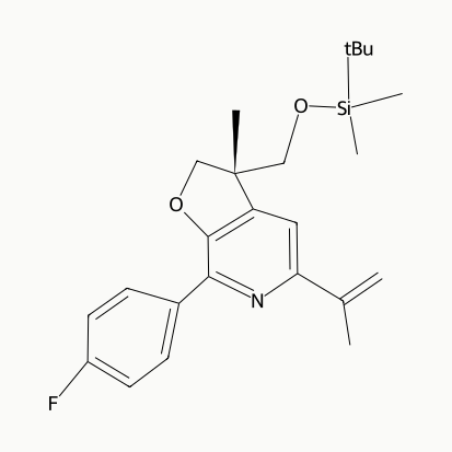 C=C(C)c1cc2c(c(-c3ccc(F)cc3)n1)OC[C@]2(C)CO[Si](C)(C)C(C)(C)C